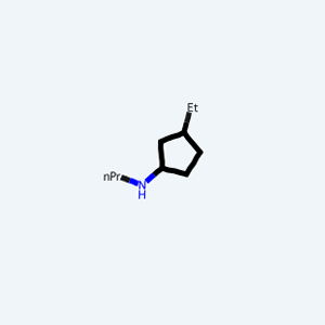 CCCNC1CCC(CC)C1